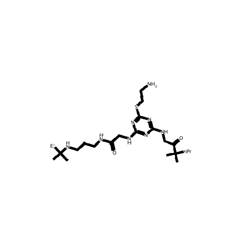 CCCC(C)(C)C(=O)CNc1nc(NCC(=O)NCCCNC(C)(C)CC)nc(SCCN)n1